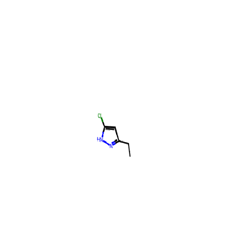 CCc1cc(Cl)[nH]n1